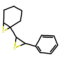 c1ccc(C2SC2C23CCCCC2S3)cc1